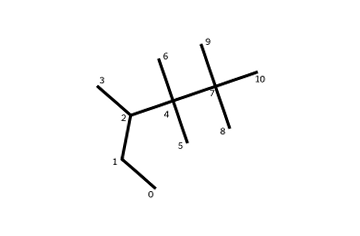 CCC(C)C(C)(C)C(C)(C)C